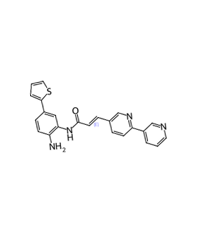 Nc1ccc(-c2cccs2)cc1NC(=O)/C=C/c1ccc(-c2cccnc2)nc1